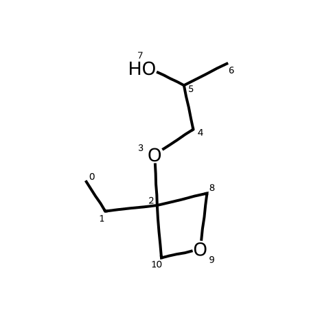 CCC1(OCC(C)O)COC1